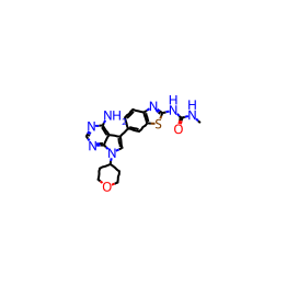 CNC(=O)Nc1nc2ccc(-c3cn(C4CCOCC4)c4ncnc(N)c34)cc2s1